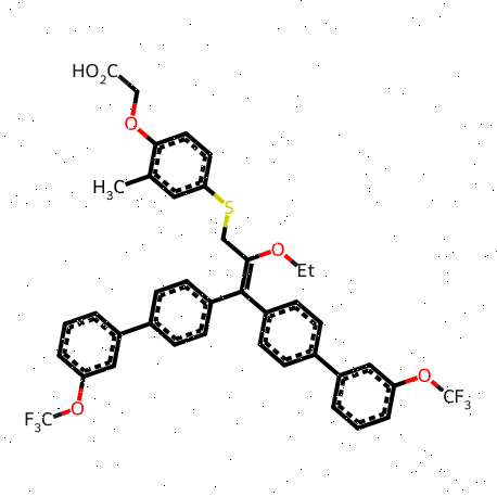 CCOC(CSc1ccc(OCC(=O)O)c(C)c1)=C(c1ccc(-c2cccc(OC(F)(F)F)c2)cc1)c1ccc(-c2cccc(OC(F)(F)F)c2)cc1